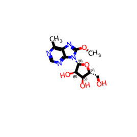 COc1nc2c(C)ncnc2n1[C@@H]1O[C@H](CO)[C@@H](O)[C@H]1O